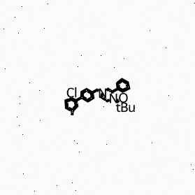 Cc1ccc(Cl)c(-c2ccc(CN3CCN(C(=O)C(C)(C)C)C(c4ccccc4)C3)cc2)c1